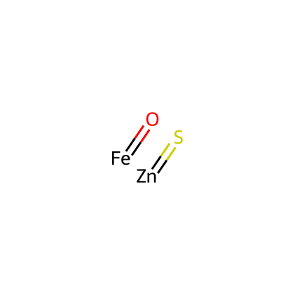 [O]=[Fe].[S]=[Zn]